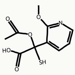 COc1ncccc1C(S)(OC(C)=O)C(=O)O